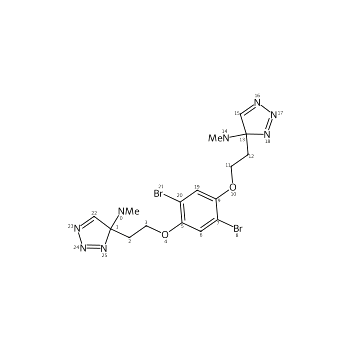 CNC1(CCOc2cc(Br)c(OCCC3(NC)C=NN=N3)cc2Br)C=NN=N1